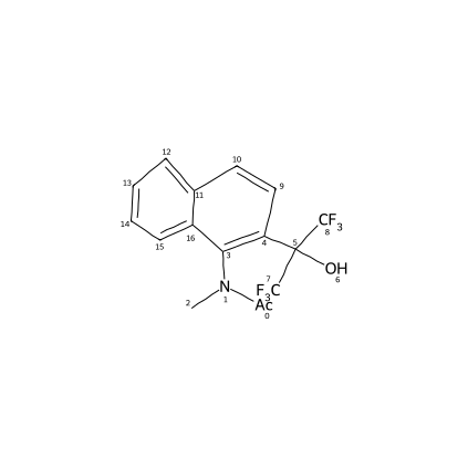 CC(=O)N(C)c1c(C(O)(C(F)(F)F)C(F)(F)F)ccc2ccccc12